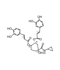 O=C(/C=C/c1ccc(O)c(O)c1)O[C@@H]1CC[C@@](O)(C(=O)NC2CC2)C[C@H]1OC(=O)/C=C/c1ccc(O)c(O)c1